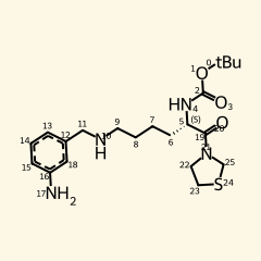 CC(C)(C)OC(=O)N[C@@H](CCCCNCc1cccc(N)c1)C(=O)N1CCSC1